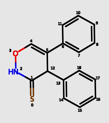 S=C1NOC=C(c2ccccc2)C1c1ccccc1